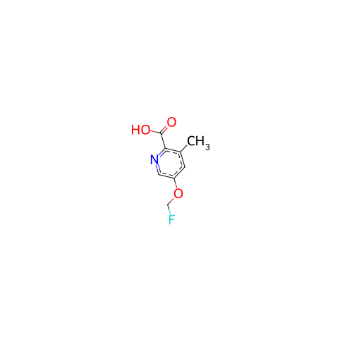 Cc1cc(OCF)cnc1C(=O)O